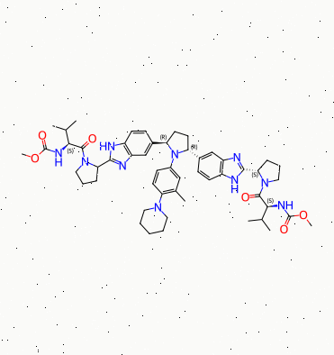 COC(=O)N[C@H](C(=O)N1CCCC1c1nc2cc([C@H]3CC[C@H](c4ccc5[nH]c([C@@H]6CCCN6C(=O)[C@@H](NC(=O)OC)C(C)C)nc5c4)N3c3ccc(N4CCCCC4)c(C)c3)ccc2[nH]1)C(C)C